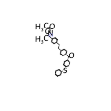 CC(=O)O/N=C(\C)c1ccc(CCc2ccc(C(=O)c3ccc(Sc4ccccc4)cc3)cc2)cc1